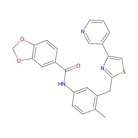 Cc1ccc(NC(=O)c2ccc3c(c2)OCO3)cc1Cc1nc(-c2cccnc2)cs1